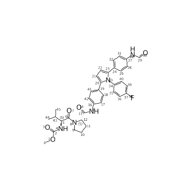 COC(=O)N[C@H](C(=O)N1CCC[C@H]1C(=O)Nc1ccc(-c2ccc(-c3ccc(NC=O)cc3)n2-c2ccc(F)cc2)cc1)C(C)C